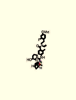 C=CN(CCc1ccc(OC)cc1F)C(=O)c1ccc(N/C(=N/[C@H]2C[C@@H]3C[C@H]([C@@H]2C)C3(C)C)N2CCCC(O)C2)cc1C